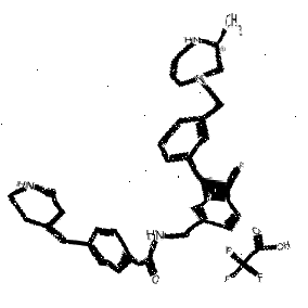 C[C@H]1CN(Cc2cccc(-c3cc(CNC(=O)c4ccc(CC5CCNCC5)cc4)ccc3F)c2)CCN1.O=C(O)C(F)(F)F